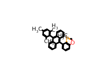 Cc1cc(C)c(-c2c3ccccc3c(-c3cccc4c3[P@@](C)CO4)c3ccccc23)c(C)c1